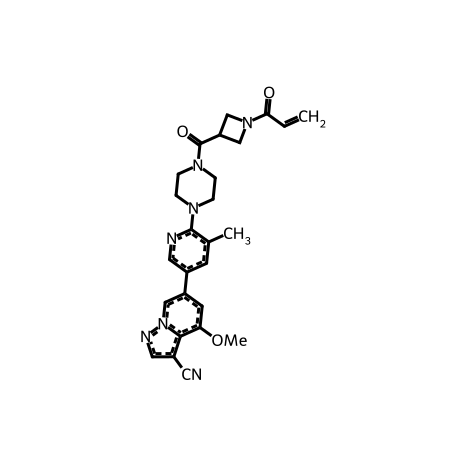 C=CC(=O)N1CC(C(=O)N2CCN(c3ncc(-c4cc(OC)c5c(C#N)cnn5c4)cc3C)CC2)C1